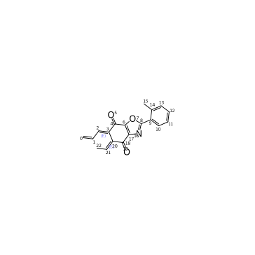 C=C/C=C1/C(=O)c2oc(-c3ccccc3C)nc2C(=O)/C1=C/C